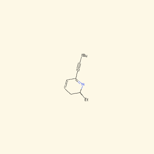 CCC1CC=CC(C#CC(C)(C)C)=N1